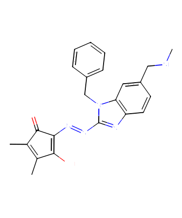 CNCc1ccc2nc(N=NC3=C(O)C(C)=C(C)C3=O)n(Cc3ccccc3)c2c1